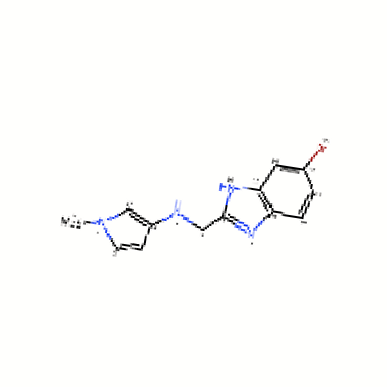 CSn1ccc(NCc2nc3ccc(Br)cc3[nH]2)c1